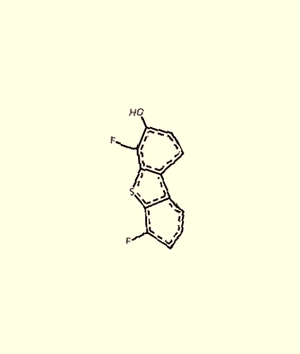 Oc1ccc2c(sc3c(F)cccc32)c1F